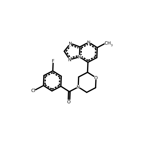 Cc1cc(C2CN(C(=O)c3cc(F)cc(Cl)c3)CCO2)n2ncnc2n1